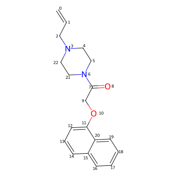 C=CCN1CCN(C(=O)COc2cccc3ccccc23)CC1